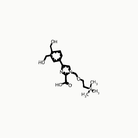 C[Si](C)(C)CCOCn1cc(-c2ccc(CO)c(CO)c2)nc1C(=O)O